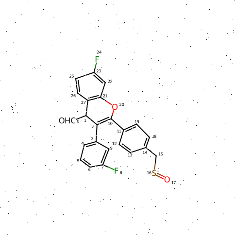 O=CC1C(c2cccc(F)c2)=C(c2ccc(C[S+]=O)cc2)Oc2cc(F)ccc21